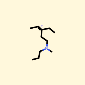 C/C=C(/CC)CCN(C)CCC